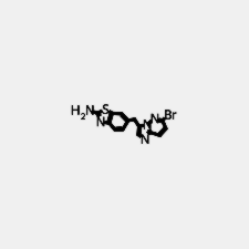 Nc1nc2ccc(Cc3cnc4ccc(Br)nn34)cc2s1